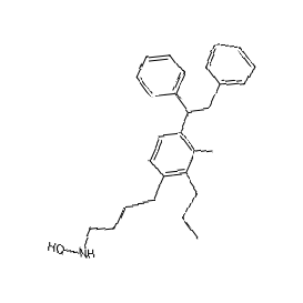 CCCc1c(CCCCNO)ccc([C](Cc2ccccc2)c2ccccc2)c1C